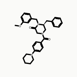 COc1cccc(CN2C(=O)CN(C(=O)c3ccc(N4CCCCC4)cc3)C[C@@H]2Cc2ccccc2)c1